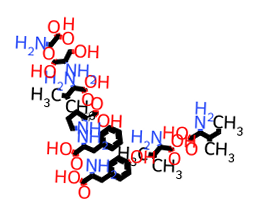 CC(C)C(N)C(=O)O.CC(C)C(N)C(=O)O.CCC(C)C(N)C(=O)O.NC(CO)C(=O)O.NC(Cc1ccc(O)cc1)C(=O)O.NC(Cc1ccccc1)C(=O)O.NCC(=O)O.O=C(O)[C@@H]1CCCN1